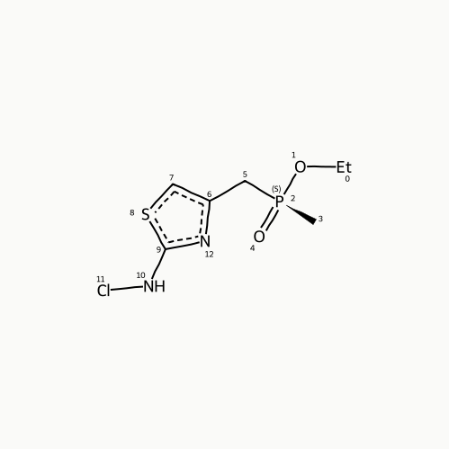 CCO[P@](C)(=O)Cc1csc(NCl)n1